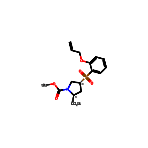 C=CCOc1ccccc1S(=O)(=O)[C@@H]1C[C@@H](C(=O)OCC)N(C(=O)OC(C)(C)C)C1